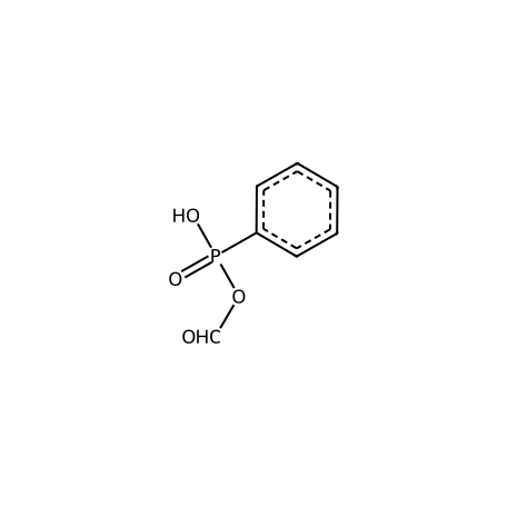 O=COP(=O)(O)c1ccccc1